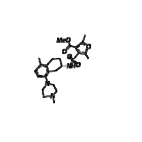 COC(=O)c1c(C)oc(C)c1S(=O)(=O)N[C@H]1CCc2c(C)ccc(N3CCN(C)CC3)c2C1